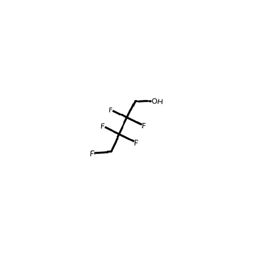 OCC(F)(F)C(F)(F)CF